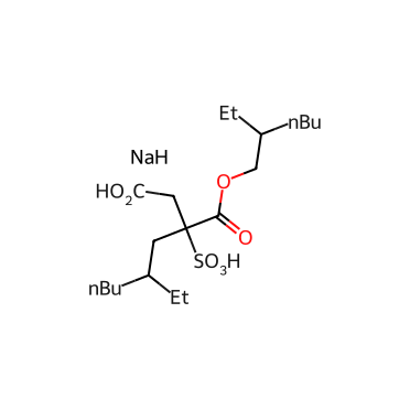 CCCCC(CC)COC(=O)C(CC(=O)O)(CC(CC)CCCC)S(=O)(=O)O.[NaH]